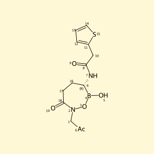 CC(=O)CN1OB(O)[C@@H](NC(=O)Cc2cccs2)CCC1=O